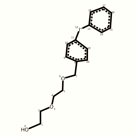 OCCOCCOCc1ccc([I+]c2ccccc2)cc1